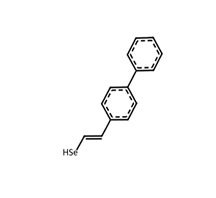 [SeH]C=Cc1ccc(-c2ccccc2)cc1